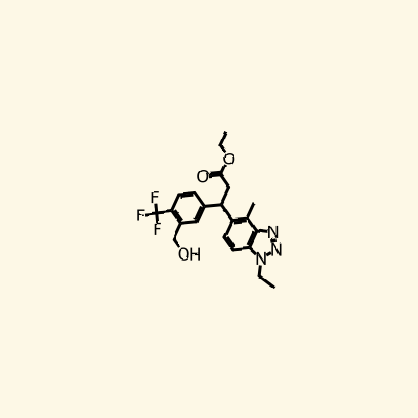 CCOC(=O)CC(c1ccc(C(F)(F)F)c(CO)c1)c1ccc2c(nnn2CC)c1C